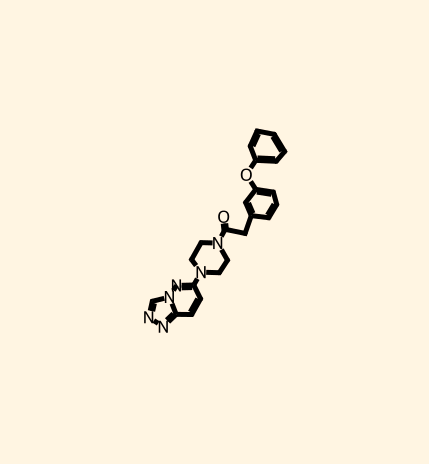 O=C(Cc1cccc(Oc2ccccc2)c1)N1CCN(c2ccc3nncn3n2)CC1